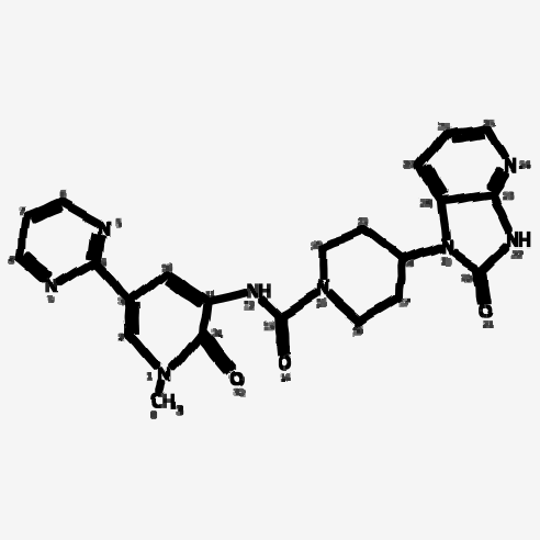 Cn1cc(-c2ncccn2)cc(NC(=O)N2CCC(n3c(=O)[nH]c4ncccc43)CC2)c1=O